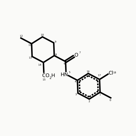 Cc1ccc(NC(=O)C2CCC(C)CC2C(=O)O)cc1Cl